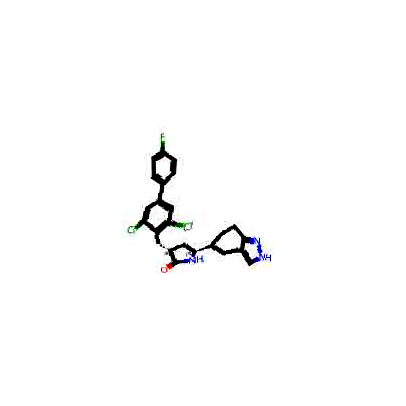 O=C1N[C@H](C2CCc3n[nH]cc3C2)C[C@H]1Cc1c(Cl)cc(-c2ccc(F)cc2)cc1Cl